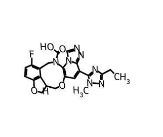 CCc1nc(-c2cc3c(n4cnnc24)N(C(=O)O)Cc2c(F)ccc4c2[C@@H](CO4)CO3)n(C)n1